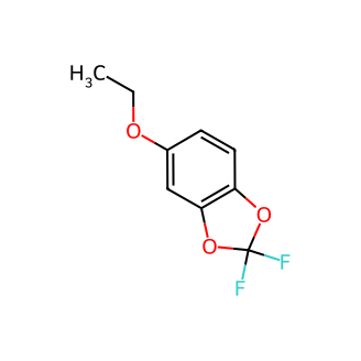 CCOc1ccc2c(c1)OC(F)(F)O2